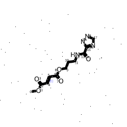 COC(=O)/C=C/C(=O)OCCCNC(=O)C1=NCN=N1